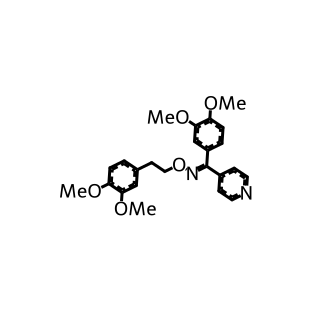 COc1ccc(CCON=C(c2ccncc2)c2ccc(OC)c(OC)c2)cc1OC